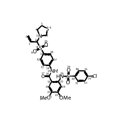 C=CC(N1CCSC1)S(=O)(=O)c1ccc(NC(=O)c2cc(OC)c(OC)cc2NS(=O)(=O)c2ccc(Cl)cc2)cc1